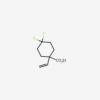 C=CC1(C(=O)OCC)CCC(F)(F)CC1